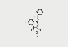 CCOC(=O)c1cn2c3c(cc(I)cc3c1=O)OC(c1ccccn1)C2